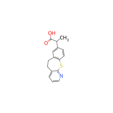 CC(C(=O)O)c1ccc2c(c1)CCc1cccnc1S2